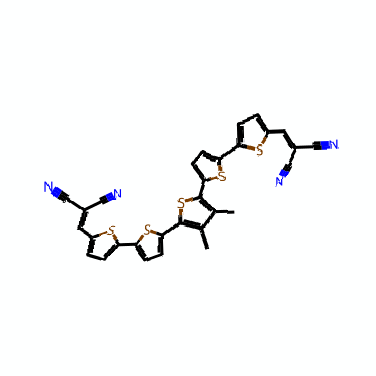 Cc1c(-c2ccc(-c3ccc(C=C(C#N)C#N)s3)s2)sc(-c2ccc(-c3ccc(C=C(C#N)C#N)s3)s2)c1C